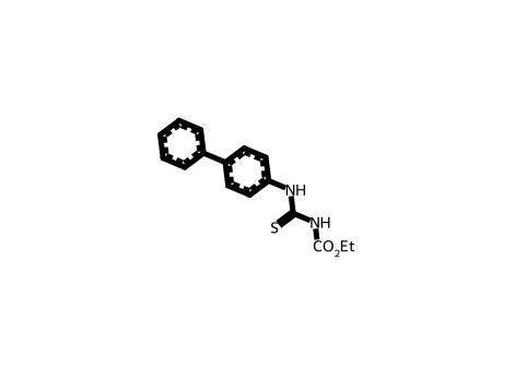 CCOC(=O)NC(=S)Nc1ccc(-c2ccccc2)cc1